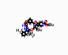 Cc1cccc(C)c1-c1nc2nc(c1C)OC[C@@H](CC(C)(C)C)N(C1CC3(CCN(C(=O)OC(C)(C)C)CC3)C1)C(=O)c1cccc(c1)S(=O)(=O)N2